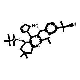 CC(C)c1nc2c(c(C3C=CCC3)c1[C@H](O)c1ccc(C(C)(C)C#N)cc1)C(O[Si](C)(C)C(C)(C)C)CC(C)(C)C2